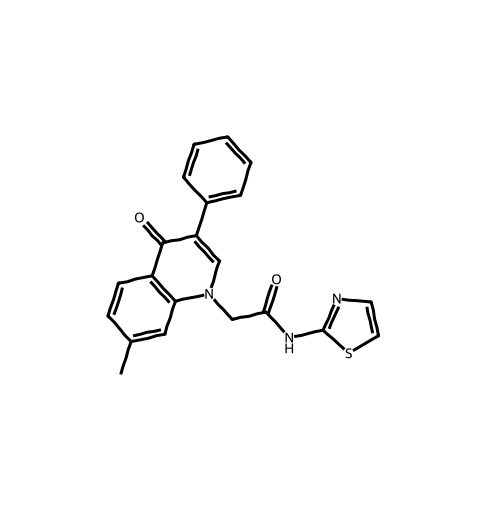 Cc1ccc2c(=O)c(-c3ccccc3)cn(CC(=O)Nc3nccs3)c2c1